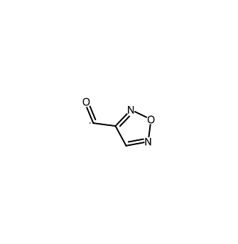 O=[C]c1cnon1